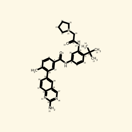 Cc1ccc(C(=O)Nc2ccc(C(C)(C)C)c(NC(=O)CN3CCCC3)c2)cc1-c1ccc2nc(N)ncc2c1